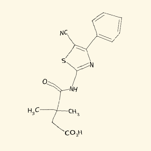 CC(C)(CC(=O)O)C(=O)Nc1nc(-c2ccccc2)c(C#N)s1